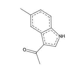 CC(=O)c1c[nH]c2ccc(C)cc12